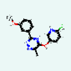 Cc1nnc(-c2cccc(OC(F)(F)F)c2)nc1Oc1ccc(Cl)nc1